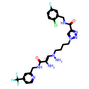 N/C(=C\N(N)CCCCn1cc(C(=O)NCc2cc(F)ccc2Cl)nn1)C(=O)NCc1cc(C(F)(F)F)ccn1